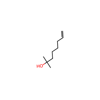 C=CCCCCC(C)(C)O